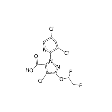 O=C(O)c1c(Cl)c(OC(F)CF)nn1-c1ncc(Cl)cc1Cl